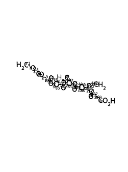 C=CCOCCOOCCCC(=O)Oc1ccc(C(=O)Oc2ccc(OC(=O)c3ccc(C(COC(=O)CCCC(=O)O)OCC=C)cc3)cc2C)cc1